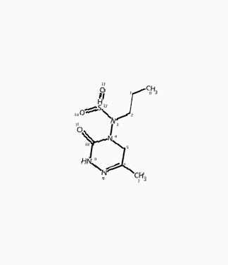 CCCN(N1CC(C)=NNC1=O)[SH](=O)=O